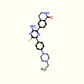 CCN1CCN(c2ccc(-c3nc(-c4ccc5c(c4)CCNC5=O)c(N)nc3F)cc2)CC1